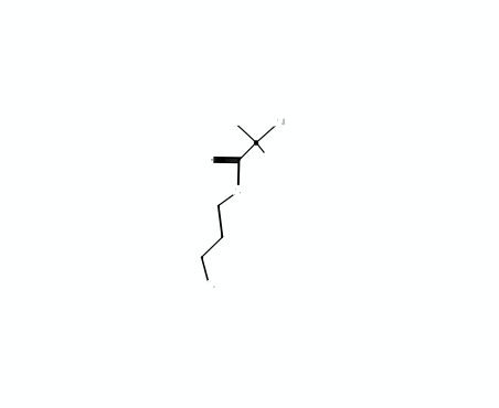 CC(C)(N)C(=O)NCCCO